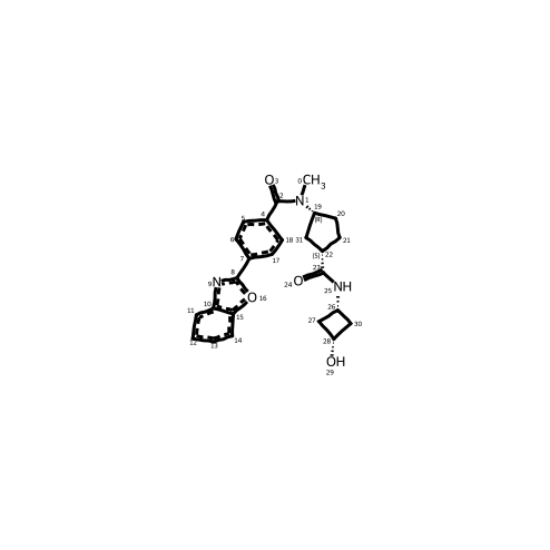 CN(C(=O)c1ccc(-c2nc3ccccc3o2)cc1)[C@@H]1CC[C@H](C(=O)N[C@H]2C[C@@H](O)C2)C1